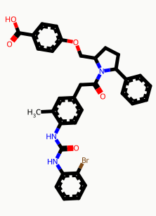 Cc1cc(CC(=O)N2C(COc3ccc(C(=O)O)cc3)CCC2c2ccccc2)ccc1NC(=O)Nc1ccccc1Br